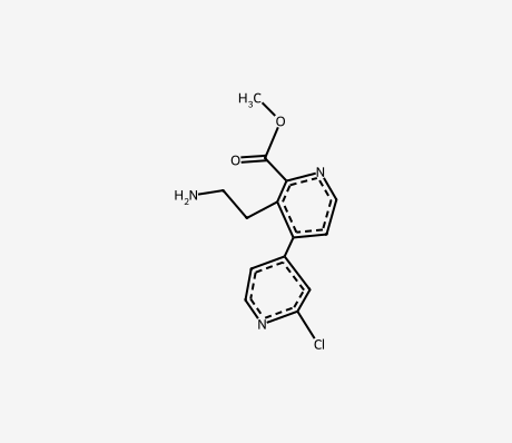 COC(=O)c1nccc(-c2ccnc(Cl)c2)c1CCN